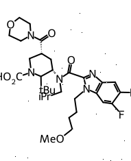 COCCCCn1c(C(=O)N(CC(C)C)[C@H]2C[C@@H](C(=O)N3CCOCC3)CN(C(=O)O)C2C(C)(C)C)nc2cc(F)c(F)cc21